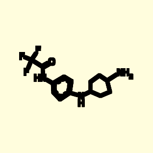 NC1CCC(Nc2ccc(NC(=O)C(F)(F)F)cc2)CC1